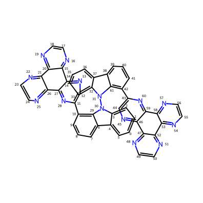 c1ccc2c(c1)c1cccc(-c3cnc4c5nccnc5c5nccnc5c4n3)c1n2-n1c2ccccc2c2cccc(-c3cnc4c5nccnc5c5nccnc5c4n3)c21